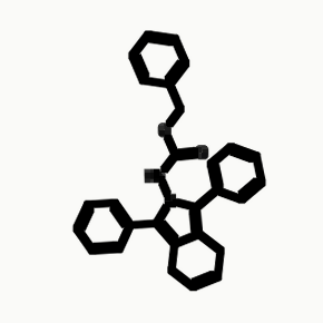 O=C(Nn1c(-c2ccccc2)c2c(c1-c1ccccc1)CC=CC2)OCc1ccccc1